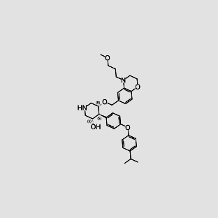 COCCCN1CCOc2ccc(CO[C@H]3CNC[C@@H](O)[C@@H]3c3ccc(Oc4ccc(C(C)C)cc4)cc3)cc21